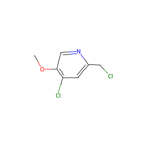 COc1cnc(CCl)cc1Cl